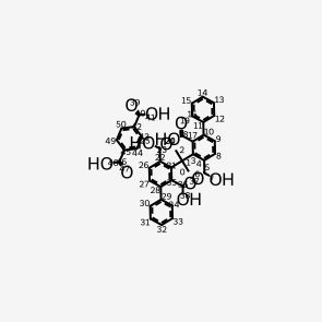 CC(C)(c1c(C(=O)O)ccc(-c2ccccc2)c1C(=O)O)c1c(C(=O)O)ccc(-c2ccccc2)c1C(=O)O.O=C(O)c1ccc(C(=O)O)cc1